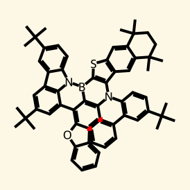 CC(C)(C)c1ccc(N2c3cc4c(oc5ccccc54)c4c3B(c3sc5cc6c(cc5c32)C(C)(C)CCC6(C)C)n2c3ccc(C(C)(C)C)cc3c3cc(C(C)(C)C)cc-4c32)c(-c2ccccc2)c1